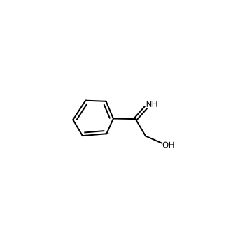 N=C(CO)c1[c]cccc1